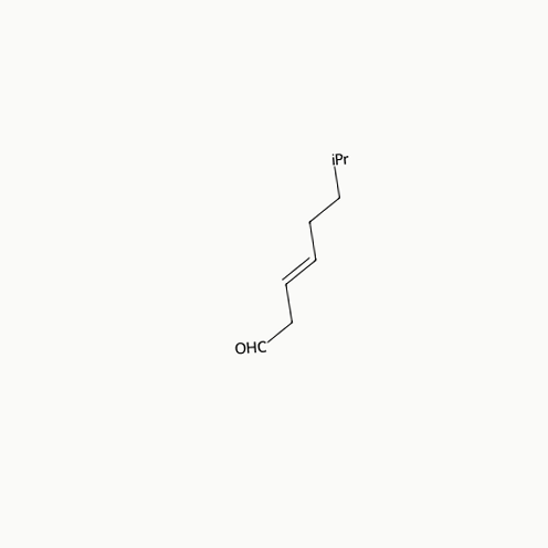 CC(C)CC/C=C/CC=O